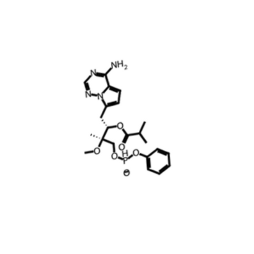 CO[C@](C)(CO[PH](=O)Oc1ccccc1)[C@H](Cc1ccc2c(N)ncnn12)OC(=O)C(C)C